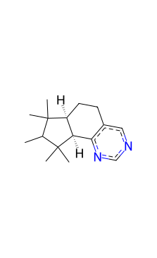 CC1C(C)(C)[C@@H]2c3ncncc3CC[C@@H]2C1(C)C